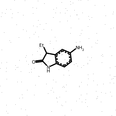 CCC1C(=O)Nc2ccc(N)cc21